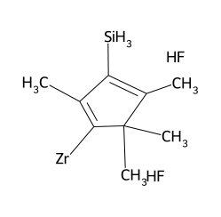 CC1=[C]([Zr])C(C)(C)C(C)=C1[SiH3].F.F